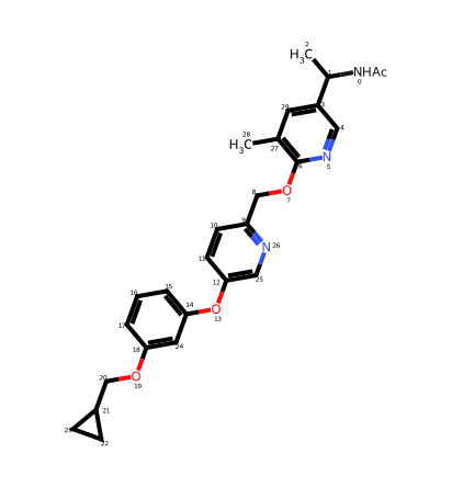 CC(=O)NC(C)c1cnc(OCc2ccc(Oc3cccc(OCC4CC4)c3)cn2)c(C)c1